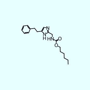 CCCCCCOC(=O)NCc1ncc(CCc2ccccc2)[nH]1